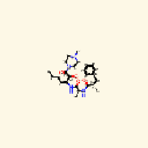 CCCCC(NC(=O)[C@H](C)NC(=O)[C@@H](C)Cc1ccccc1)C(=O)C(=O)N1CCN(C)CC1